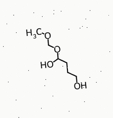 COCOC(O)CCCO